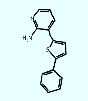 Nc1ncccc1-c1ccc(-c2ccccc2)s1